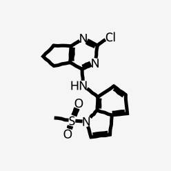 CS(=O)(=O)n1ccc2cccc(Nc3nc(Cl)nc4c3CCC4)c21